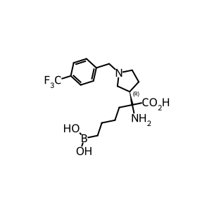 NC(CCCCB(O)O)(C(=O)O)[C@@H]1CCN(Cc2ccc(C(F)(F)F)cc2)C1